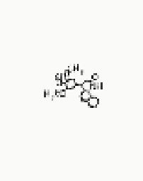 COc1cc(C2CC(=O)Nc3c2ccc2ccccc32)cc(OC)c1OC